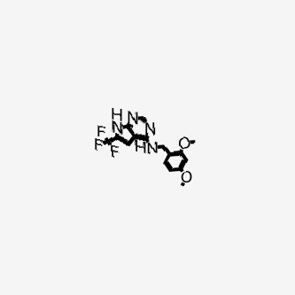 COc1ccc(CNc2ncnc3[nH]c(C(F)(F)F)cc23)c(OC)c1